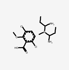 CCC(N)N(C)C(N)CC.COc1c(Cl)ccc(Cl)c1C(=O)O